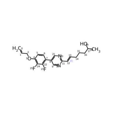 C=CCOc1ccc(-c2cnc(/C=C/CCCC(C)O)nc2)c(F)c1F